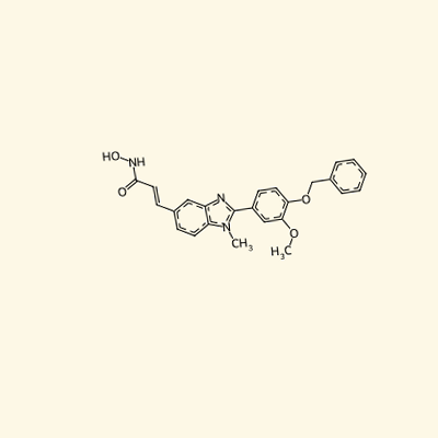 COc1cc(-c2nc3cc(C=CC(=O)NO)ccc3n2C)ccc1OCc1ccccc1